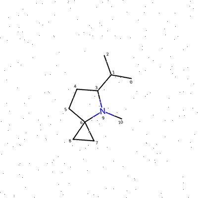 CC(C)C1CCC2(CC2)N1C